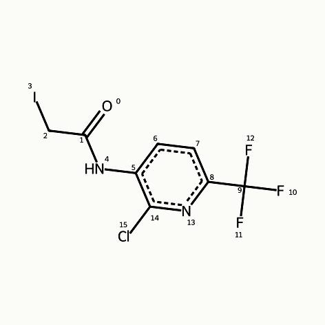 O=C(CI)Nc1ccc(C(F)(F)F)nc1Cl